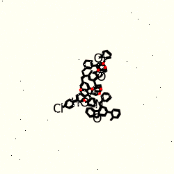 Cc1cc(-c2ccc(Cl)cc2)ccc1C1(c2cc(N(c3ccccc3)c3cc(C4C=CC=CC4C)cc4oc5ccccc5c34)ccc2O)c2ccccc2-c2cc(/C=C(/CC3=CC(c4cccc5c4oc4ccccc45)=CCC3)c3cc(-c4ccccc4)c4oc5ccccc5c4c3)ccc21